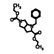 CCOC(=O)C1CC2CN(C(=O)OCC)CC2N1Cc1ccccc1